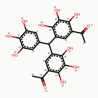 CC(=O)c1cc(C(c2cc(O)c(O)c(O)c2)c2cc(C(C)=O)c(O)c(O)c2O)c(O)c(O)c1O